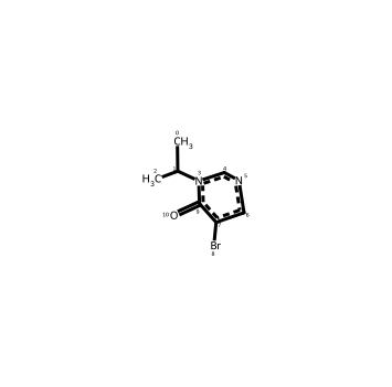 CC(C)n1cncc(Br)c1=O